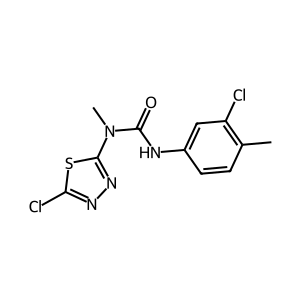 Cc1ccc(NC(=O)N(C)c2nnc(Cl)s2)cc1Cl